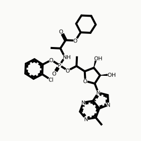 Cc1ncnc2c1ncn2C1OC(C(C)OP(=O)(NC(C)C(=O)OC2CCCCC2)Oc2ccccc2Cl)[C@@H](O)[C@H]1O